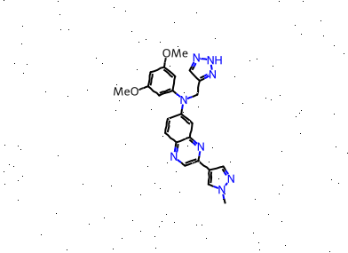 COc1cc(OC)cc(N(Cc2cn[nH]n2)c2ccc3ncc(-c4cnn(C)c4)nc3c2)c1